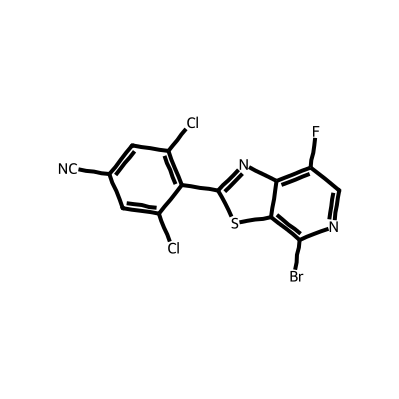 N#Cc1cc(Cl)c(-c2nc3c(F)cnc(Br)c3s2)c(Cl)c1